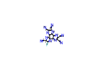 N#Cc1nc2c(nc1F)c1nc(C#N)c(C#N)nc1c1nc(C#N)c(C#N)nc21